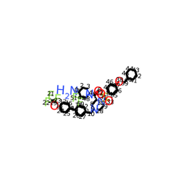 NC1CCN(C(=O)[C@@H]2CN(Cc3ccc(-c4ccc(OC(F)(F)F)cc4)cc3)CCN2S(=O)(=O)c2ccc(OCC3CCCCC3)cc2)CC1(F)F